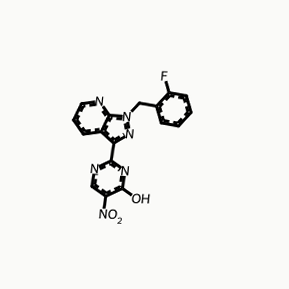 O=[N+]([O-])c1cnc(-c2nn(Cc3ccccc3F)c3ncccc23)nc1O